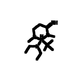 CCN(CC)[PH]1(C(C)(C)C)N(C)CCC(=N)N1C